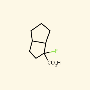 O=C(O)C1(F)CCC2CCCC21